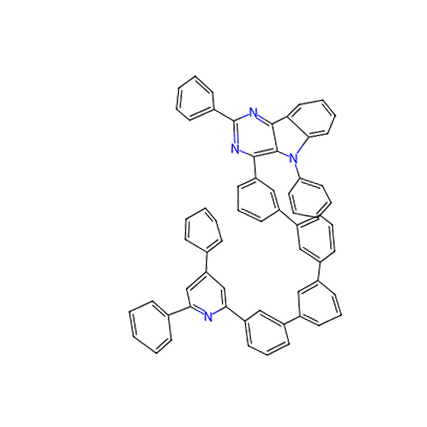 c1ccc(-c2cc(-c3ccccc3)nc(-c3cccc(-c4cccc(-c5cccc(-c6cccc(-c7nc(-c8ccccc8)nc8c9ccccc9n(-c9ccccc9)c78)c6)c5)c4)c3)c2)cc1